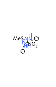 CSc1nc(NCc2ccccc2)c([N+](=O)[O-])c(NCc2ccccc2)n1